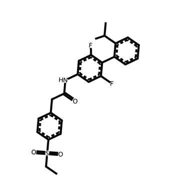 CCS(=O)(=O)c1ccc(CC(=O)Nc2cc(F)c(-c3ccccc3C(C)C)c(F)c2)cc1